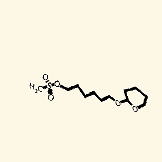 CS(=O)(=O)OCCCCCCOC1CCCCO1